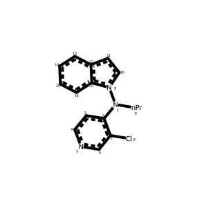 CCCN(c1ccncc1Cl)n1ccc2ccccc21